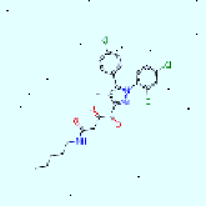 CCCCCNC(=O)CC(=O)C(=O)c1nn(-c2ccc(Cl)cc2Cl)c(-c2ccc(Cl)cc2)c1C